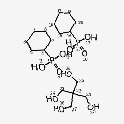 O=P(O)(O)C1CCCCC1.O=P(O)(O)C1CCCCC1.OCC(CO)(CO)CO